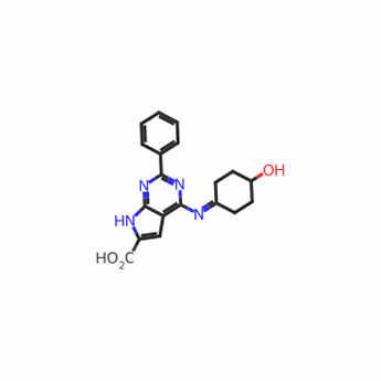 O=C(O)c1cc2c(N=C3CCC(O)CC3)nc(-c3ccccc3)nc2[nH]1